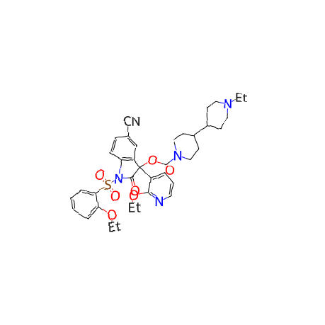 CCOc1ccccc1S(=O)(=O)N1C(=O)C(OC(=O)N2CCC(C3CCN(CC)CC3)CC2)(c2cccnc2OCC)c2cc(C#N)ccc21